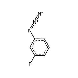 [N-]=[N+]=Nc1cccc(F)c1